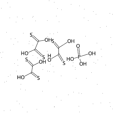 O=P(O)(O)O.OC(=S)C(O)=S.OC(=S)C(O)=S.OC(=S)C(O)=S